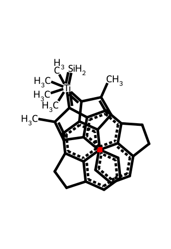 CC1=Cc2c(cc3c4c(cccc24)CC3)[C]1=[Ti]([CH3])([CH3])([CH3])([CH3])(=[SiH2])=[C]1C(C)=Cc2c1cc1c3c(cccc23)CC1